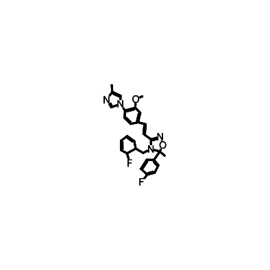 COc1cc(/C=C/C2=NOC(C)(c3ccc(F)cc3)N2CC2C=CC=CC2F)ccc1-n1cnc(C)c1